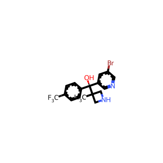 CC1([C@](O)(c2ccc(C(F)(F)F)cc2)c2cncc(Br)c2)CNC1